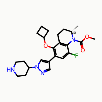 COC(=O)N1c2c(F)cc(-c3cnn(C4CCNCC4)c3)c(OC3CCC3)c2CC[C@@H]1C